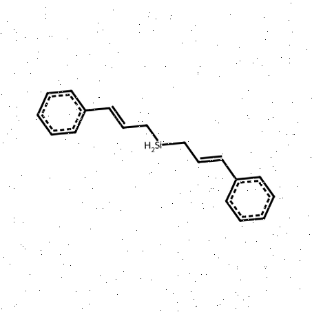 C(=Cc1ccccc1)C[SiH2]CC=Cc1ccccc1